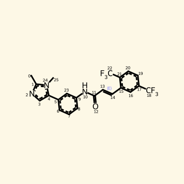 Cc1ncc(-c2cccc(NC(=O)/C=C/c3cc(C(F)(F)F)ccc3C(F)(F)F)c2)n1C